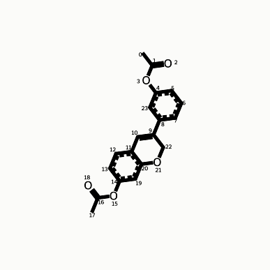 CC(=O)Oc1cccc(C2=Cc3ccc(OC(C)=O)cc3OC2)c1